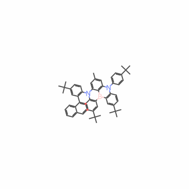 Cc1cc2c3c(c1)N(c1ccc(C(C)(C)C)cc1-c1cccc4ccccc14)c1ccc(C(C)(C)C)cc1B3c1cc(C(C)(C)C)ccc1N2c1ccc(C(C)(C)C)cc1